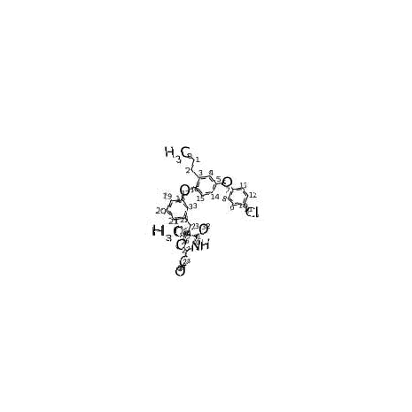 CCCc1cc(Oc2ccc(Cl)cc2)ccc1Oc1cccc(C[C@@]2(C)OC(=C=O)NC2=O)c1